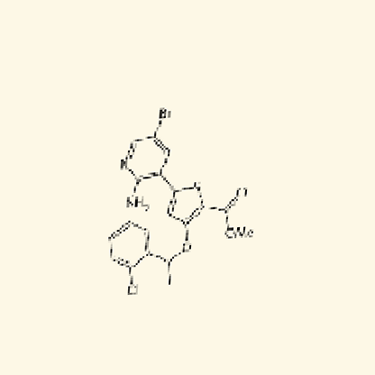 COC(=O)c1sc(-c2cc(Br)cnc2N)cc1OC(C)c1ccccc1Cl